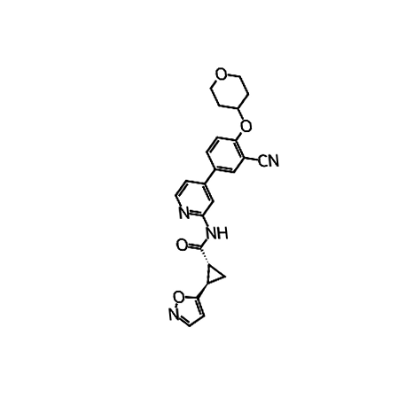 N#Cc1cc(-c2ccnc(NC(=O)[C@@H]3C[C@H]3c3ccno3)c2)ccc1OC1CCOCC1